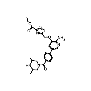 CCOC(=O)c1nc(COc2cc(-c3ccc(C(=O)N4CC(C)NC(C)C4)cc3)cnc2N)no1